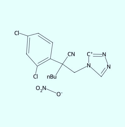 CCCCC(C#N)(CN1[C+]=NN=C1)c1ccc(Cl)cc1Cl.O=[N+]([O-])[O-]